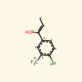 CC=C(O)c1ccc(Br)c(C(F)(F)F)c1